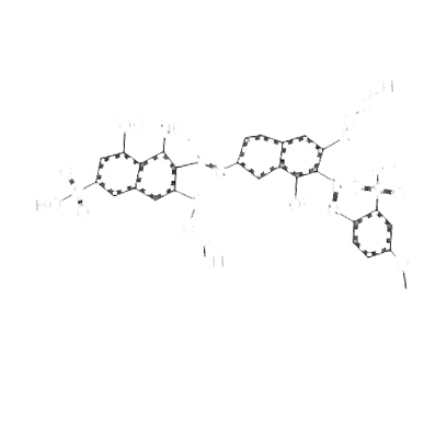 COc1ccc(N=Nc2c(SOOO)cc3ccc(N=Nc4c(SOOO)cc5cc(S(=O)(=O)O)cc(O)c5c4N)cc3c2O)c(S(=O)(=O)O)c1